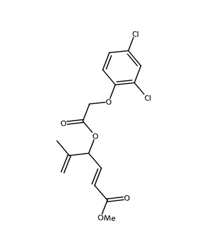 C=C(C)C(C=CC(=O)OC)OC(=O)COc1ccc(Cl)cc1Cl